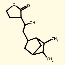 CC1C2CC(CC(O)C3CCOC3=O)C(C2)C1C